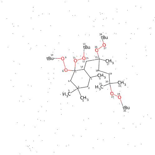 CC1CC(C)(C)CC(OOC(C)(C)C)(OOC(C)(C)C)C1CC(C)(CCC(C)(C)OOC(C)(C)C)OOC(C)(C)C